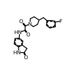 O=C1Cc2cc(NC(=O)C(=O)N3CCC(Cc4cccc(F)c4)CC3)ccc2N1